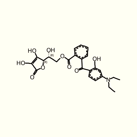 CCN(CC)c1ccc(C(=O)c2ccccc2C(=O)OC[C@@H](O)[C@H]2OC(=O)C(O)=C2O)c(O)c1